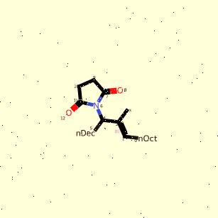 CCCCCCCC/C=C(\C)C(CCCCCCCCCC)N1C(=O)CCC1=O